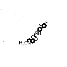 Cc1ccc2c3c(ccc2n1)OC[C@H](CNC[C@@H]1CCc2c(sc4cc(F)ccc24)C1)O3